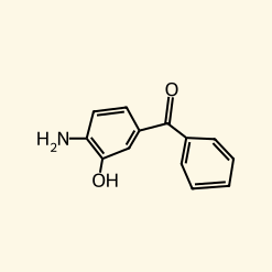 Nc1ccc(C(=O)c2ccccc2)cc1O